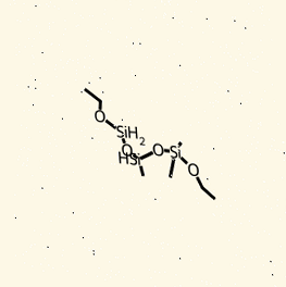 CCO[SiH2]O[SiH](C)O[Si](C)(C)OCC